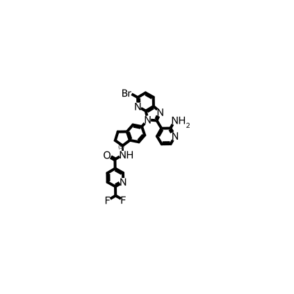 Nc1ncccc1-c1nc2ccc(Br)nc2n1-c1ccc2c(c1)CC[C@@H]2NC(=O)c1ccc(C(F)F)nc1